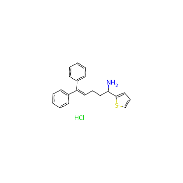 Cl.NC(CCC=C(c1ccccc1)c1ccccc1)c1cccs1